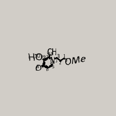 COCCCn1ccc(=O)c(O)c1C